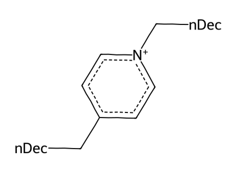 CCCCCCCCCCCc1cc[n+](CCCCCCCCCCC)cc1